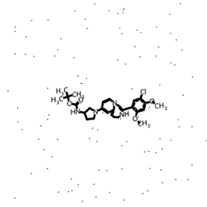 COc1cc(OC)c(/C2=C/N3C=CC(N4CCC(NC(=O)OC(C)(C)C)C4)=C/C3=C\CCN2)cc1Cl